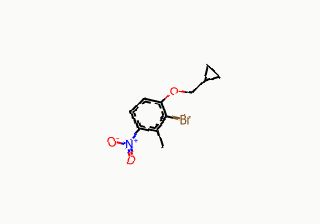 Cc1c([N+](=O)[O-])ccc(OCC2CC2)c1Br